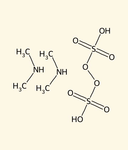 CNC.CNC.O=S(=O)(O)OOS(=O)(=O)O